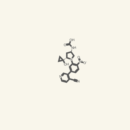 N#Cc1ccncc1-c1ccc([N+](=O)[O-])c(N2C[C@@H](NC(=O)O)C[C@H]2C2(O)CC2)c1